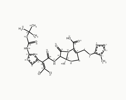 Cn1nnnc1SCC1=C(C(=O)O)N2C(=O)C(NC(=O)C(=C(Cl)Cl)c3csc(NC(=O)OC(C)(C)C)n3)[C@@H]2SC1